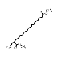 CCC(CCCCCCCCCCCCCCC(=O)OC)C(=O)OC